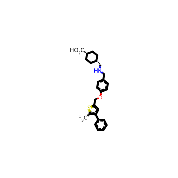 O=C(O)[C@H]1CC[C@H](CNCc2ccc(OCc3cc(-c4ccccc4)c(C(F)(F)F)s3)cc2)CC1